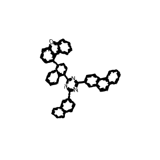 c1ccc2cc(-c3nc(-c4ccc5c(ccc6ccccc65)c4)nc(-c4ccc(-c5cccc6oc7ccccc7c56)c5ccccc45)n3)ccc2c1